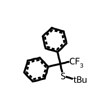 CC(C)(C)SC(c1ccccc1)(c1ccccc1)C(F)(F)F